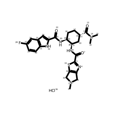 CN1Cc2nc(C(=O)N[C@@H]3C[C@@H](C(=O)N(C)C)CC[C@@H]3NC(=O)c3cc4cc(F)ccc4[nH]3)sc2C1.Cl